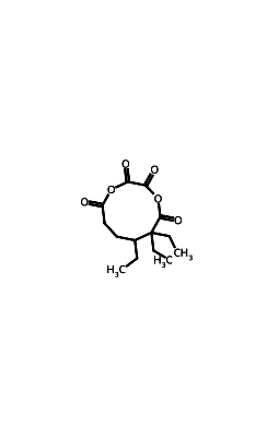 CCC1CCC(=O)OC(=O)C(=O)OC(=O)C1(CC)CC